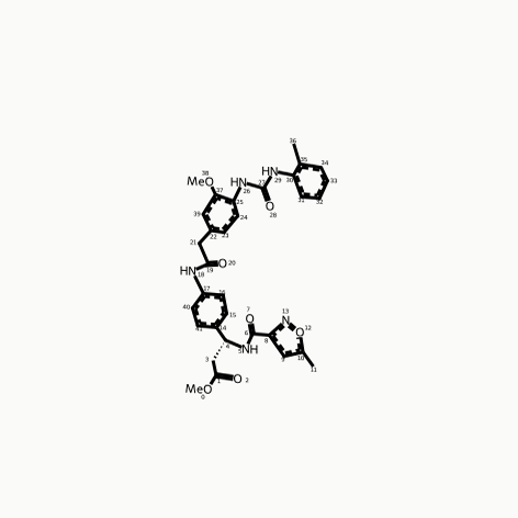 COC(=O)C[C@@H](NC(=O)c1cc(C)on1)c1ccc(NC(=O)Cc2ccc(NC(=O)Nc3ccccc3C)c(OC)c2)cc1